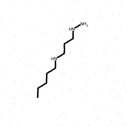 CCCCCNCCCNN